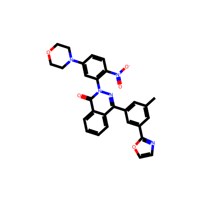 Cc1cc(-c2ncco2)cc(-c2nn(-c3cc(N4CCOCC4)ccc3[N+](=O)[O-])c(=O)c3ccccc23)c1